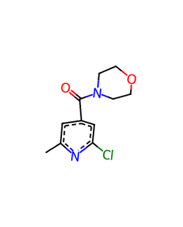 Cc1cc(C(=O)N2CCOCC2)cc(Cl)n1